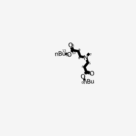 CCCCOC(=O)CCN(C)CCC(=O)OCCCC